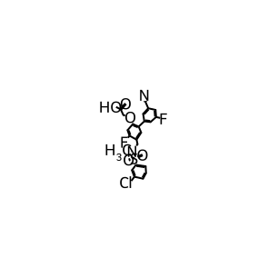 CN(Cc1cc(-c2cc(F)cc(C#N)c2)c(OCC(=O)O)cc1F)S(=O)(=O)c1cccc(Cl)c1